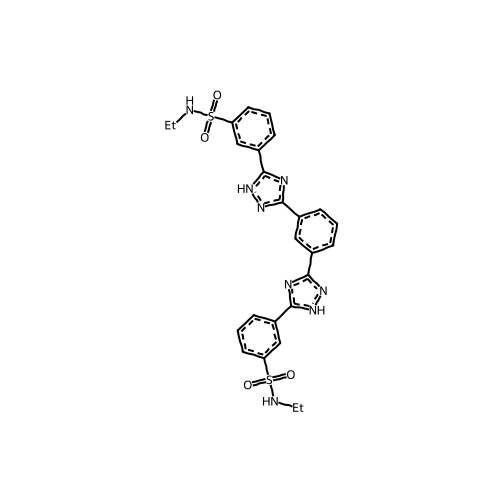 CCNS(=O)(=O)c1cccc(-c2nc(-c3cccc(-c4n[nH]c(-c5cccc(S(=O)(=O)NCC)c5)n4)c3)n[nH]2)c1